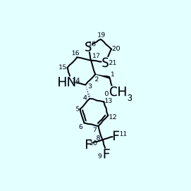 CC[C@H]1[C@H](C2C=CC(C(F)(F)F)=CC2)NCCC12SCCS2